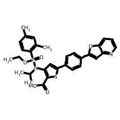 CCOP(=O)(c1ccc(C)cc1C)N(c1cc(-c2ccc(-c3cc4ncccc4o3)cc2)sc1C(=O)O)C(C)C